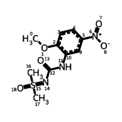 COc1ccc([N+](=O)[O-])cc1NC(=O)N=S(C)(C)=O